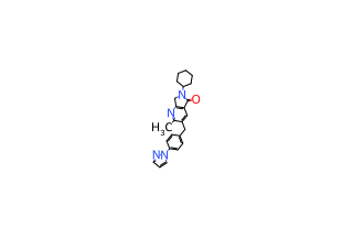 Cc1nc2c(cc1Cc1ccc(-n3cccn3)cc1)C(=O)N(C1CCCCC1)C2